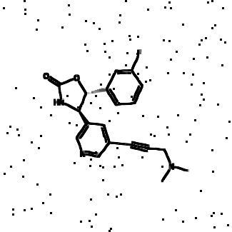 CN(C)CC#Cc1cncc([C@H]2NC(=O)O[C@@H]2c2cccc(F)c2)c1